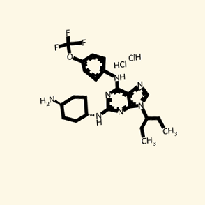 CCC(CC)n1cnc2c(Nc3ccc(OC(F)(F)F)cc3)nc(N[C@H]3CC[C@H](N)CC3)nc21.Cl.Cl